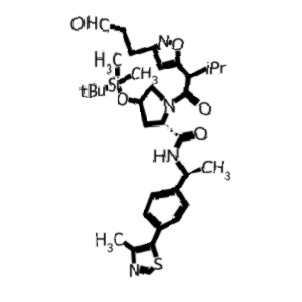 Cc1ncsc1-c1ccc([C@H](C)NC(=O)[C@@H]2CC(O[Si](C)(C)C(C)(C)C)CN2C(=O)C(c2cc(CCC=O)no2)C(C)C)cc1